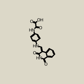 O=C(O)C(=O)Nc1ccc(N/C=C2\C(=O)NC(=O)c3ccccc32)cc1